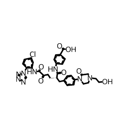 O=C(CC[C@@H](Cc1ccc(N2CCN(CCO)CC2=O)cc1)C(=O)Nc1ccc(C(=O)O)cc1)C(=O)Nc1cc(Cl)ccc1-n1cnnn1